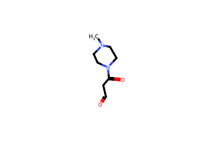 CN1CCN(C(=O)CC=O)CC1